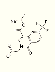 C=C(OCC)c1nn(CC(=O)[O-])c(=O)c2ccc(C(F)(F)F)cc12.[Na+]